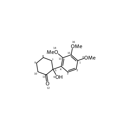 COc1ccc(C2(O)CCCCC2=O)c(OC)c1OC